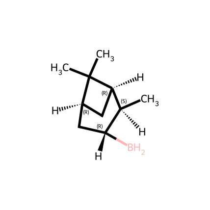 B[C@@H]1C[C@@H]2C[C@H]([C@H]1C)C2(C)C